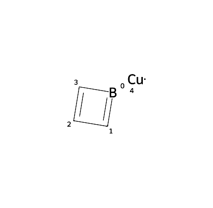 B1=CC=C1.[Cu]